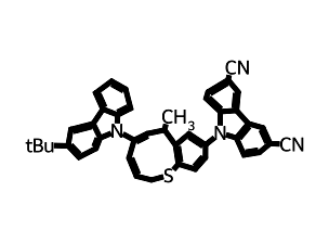 CC1/C=C(n2c3ccccc3c3cc(C(C)(C)C)ccc32)\C=C/CSc2ccc(-n3c4ccc(C#N)cc4c4cc(C#N)ccc43)cc21